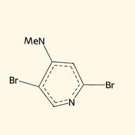 CNc1cc(Br)ncc1Br